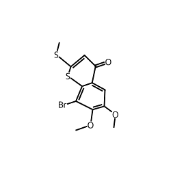 COc1cc2c(=O)cc(SC)sc2c(Br)c1OC